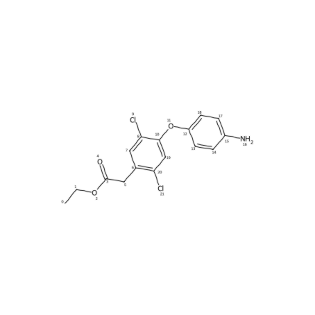 CCOC(=O)Cc1cc(Cl)c(Oc2ccc(N)cc2)cc1Cl